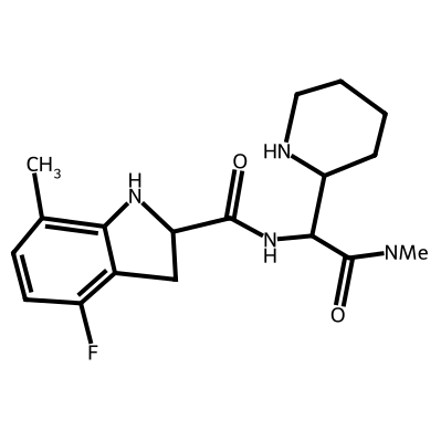 CNC(=O)C(NC(=O)C1Cc2c(F)ccc(C)c2N1)C1CCCCN1